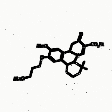 CCOC(=O)C1=CN2C(CC1=O)c1cc(OC)c(OCCCOC)cc1C1CCCC(C)(C)C12